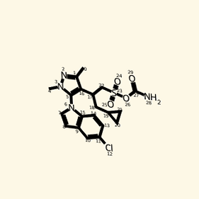 Cc1nn(C)c(-n2ccc3cc(Cl)ccc32)c1C(CC1CC1)CS(=O)(=O)OC(N)=O